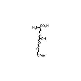 COCCOCCOCC(O)CSCCC(N)C(=O)O